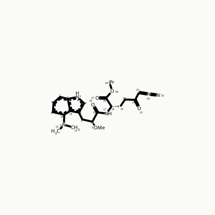 CO[C@@H](Cc1c[nH]c2cccc(N(C)C)c12)C(=O)N[C@@H](CCC(=O)C=[N+]=[N-])C(=O)OC(C)C